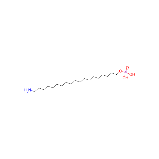 NCCCCCCCCCCCCCCCCCCCOP(=O)(O)O